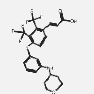 O=C(O)/C=C/c1ccc(Sc2cccc(NC3CCOCC3)c2)c(C(F)(F)F)c1C(F)(F)F